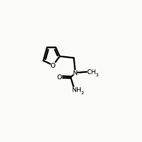 CN(Cc1ccco1)C(N)=O